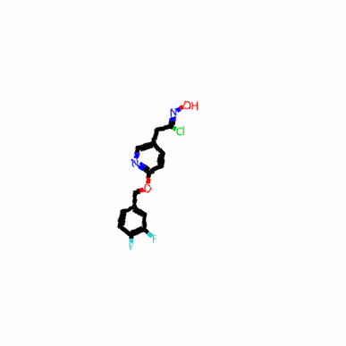 ON=C(Cl)Cc1ccc(OCc2ccc(F)c(F)c2)nc1